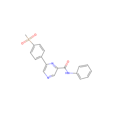 CS(=O)(=O)c1ccc(-c2cncc(C(=O)Nc3ccccc3)n2)cc1